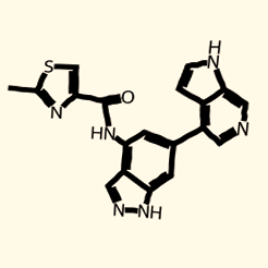 Cc1nc(C(=O)Nc2cc(-c3cncc4[nH]ccc34)cc3[nH]ncc23)cs1